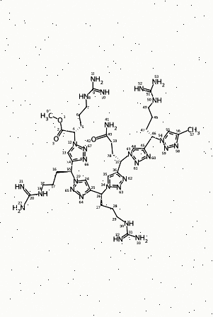 COC(=O)[C@H](CCCNC(=N)N)n1cc([C@H](CCCNC(=N)N)n2cc([C@H](CCCNC(=N)N)n3cc([C@H](CCC(N)=O)n4cc([C@H](CCCNC(=N)N)n5cc(C)nn5)nn4)nn3)nn2)nn1